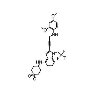 COc1ccc(NCC#Cc2cc3c(NC4CCS(=O)(=O)CC4)cccc3n2CC(F)(F)F)c(OC)c1